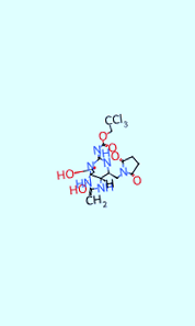 C=C1N[C@H]2[C@H](CN3C(=O)CCC3=O)N/C(=N\C(=O)OCC(Cl)(Cl)Cl)N3C[C@H](O)[C@H](O)[C@]23N1